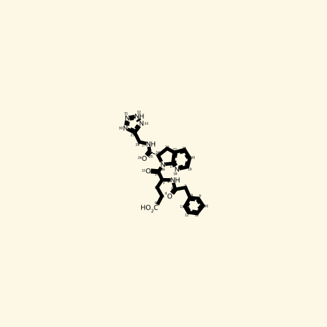 O=C(O)CCC(NC(=O)Cc1ccccc1)C(=O)N1c2ncccc2C[C@H]1C(=O)NCc1nn[nH]n1